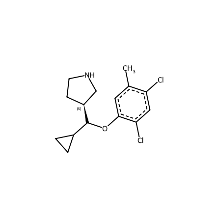 Cc1cc(OC(C2CC2)[C@H]2CCNC2)c(Cl)cc1Cl